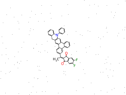 CC(=C1C(=O)c2cc(F)c(F)cc2C1=O)c1ccc2c(c1)c1ccccc1c1cc3c(cc21)Cc1ccccc1N3c1ccccc1